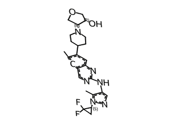 Cc1cc2cnc(Nc3cnn([C@H]4CC4(F)F)c3C)nc2cc1C1CCN([C@@H]2COC[C@@H]2O)CC1